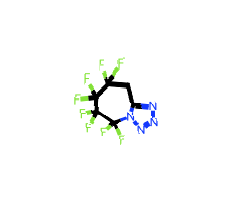 FC1(F)Cc2nnnn2C(F)(F)C(F)(F)C1(F)F